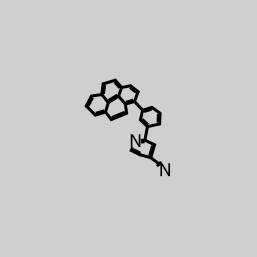 N#Cc1ccnc(-c2cccc(-c3ccc4ccc5cccc6ccc3c4c56)c2)c1